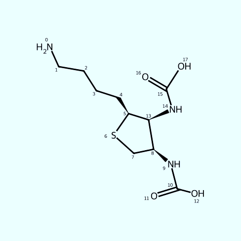 NCCCC[C@@H]1SC[C@H](NC(=O)O)[C@@H]1NC(=O)O